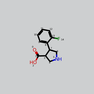 O=C(O)C1CNCC1c1ccccc1F